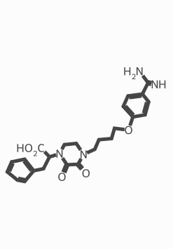 N=C(N)c1ccc(OCCCCN2CCN(C(Cc3ccccc3)C(=O)O)C(=O)C2=O)cc1